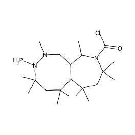 CC1C2CN(C)N(P)C(C)(C)CC(C)(C)C2C(C)(C)CC(C)(C)N1C(=O)Cl